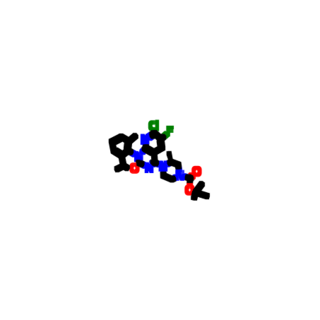 Cc1cccc(C(C)C)c1-n1c(=O)nc(N2CCN(C(=O)OC(C)(C)C)C[C@@H]2C)c2cc(F)c(Cl)nc21